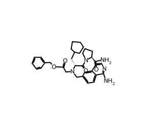 NC(=O)[C@@H]1CCCN1C(=O)[C@@H](CC1CCCCC1)N(CC(=O)OCc1ccccc1)Cc1ccc2c(N)nccc2c1